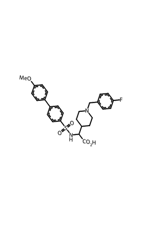 COc1ccc(-c2ccc(S(=O)(=O)NC(C(=O)O)C3CCN(Cc4ccc(F)cc4)CC3)cc2)cc1